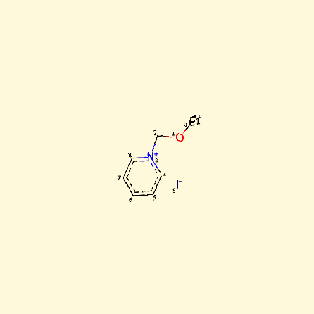 CCOC[n+]1ccccc1.[I-]